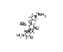 CN(C(=N)N)C(=O)c1cc2c(Cl)cc(Oc3ccc(CN)cc3)cc2[nH]1.Cl.Cl